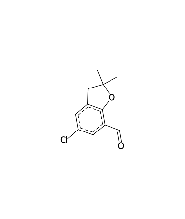 CC1(C)Cc2cc(Cl)cc(C=O)c2O1